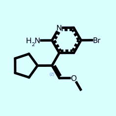 CO/C=C(\c1cc(Br)cnc1N)C1CCCC1